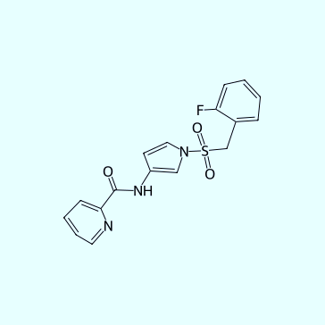 O=C(Nc1ccn(S(=O)(=O)Cc2ccccc2F)c1)c1ccccn1